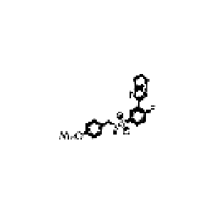 COc1ccc(CN(C)S(=O)(=O)c2ccc(F)c(-c3cn4c(n3)CCC4)c2)cc1